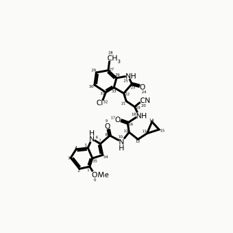 COc1cccc2[nH]c(C(=O)NC(CC3CC3)C(=O)NC(C#N)CC3C(=O)Nc4c(C)ccc(Cl)c43)cc12